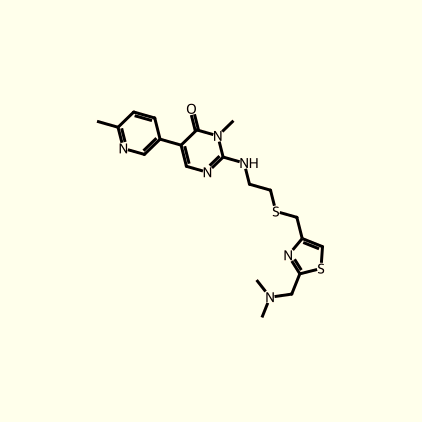 Cc1ccc(-c2cnc(NCCSCc3csc(CN(C)C)n3)n(C)c2=O)cn1